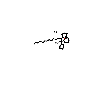 CCCCCCCCCCCCC(c1ccccc1)C(N)(c1ccccc1)c1ccccc1.I